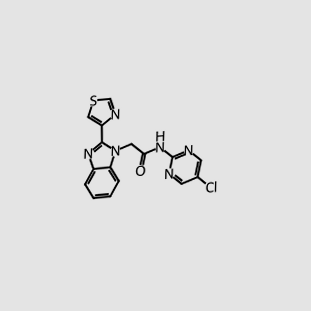 O=C(Cn1c(-c2cscn2)nc2ccccc21)Nc1ncc(Cl)cn1